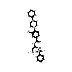 O=C(O)CC(NC(=O)c1ccc(N2CCN(C3=NCCCN3)CC2)c(Cl)c1)NS(=O)(=O)c1ccccc1